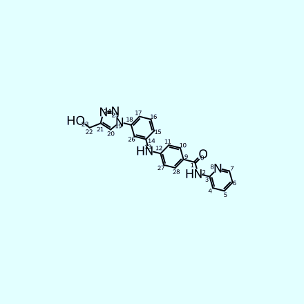 O=C(Nc1ccccn1)c1ccc(Nc2cccc(-n3cc(CO)nn3)c2)cc1